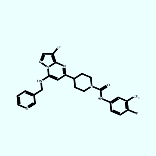 O=C(Nc1ccc(F)c(C(F)(F)F)c1)N1CCC(c2cc(NCc3cccnc3)n3ncc(Br)c3n2)CC1